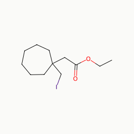 CCOC(=O)CC1(CI)CCCCCC1